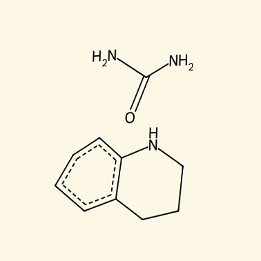 NC(N)=O.c1ccc2c(c1)CCCN2